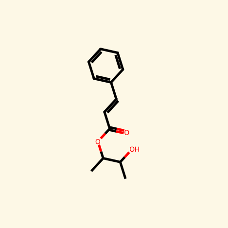 CC(O)C(C)OC(=O)C=Cc1ccccc1